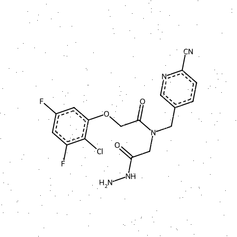 N#Cc1ccc(CN(CC(=O)NN)C(=O)COc2cc(F)cc(F)c2Cl)cn1